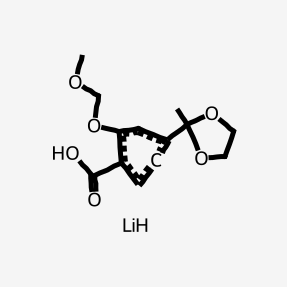 COCOc1cc(C2(C)OCCO2)ccc1C(=O)O.[LiH]